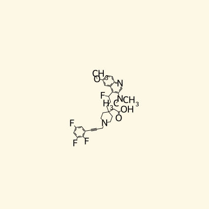 COc1ccc2ncc(N(C)C)c(C(F)CCC3(CC(=O)O)CCN(CC#Cc4cc(F)cc(F)c4F)CC3)c2c1